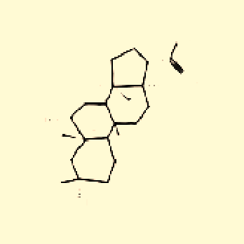 C=C(C)[C@H]1CC[C@H]2[C@@H]3C[C@@H](F)[C@H]4C[C@](C)(O)CC[C@@H]4[C@H]3CC[C@]12C